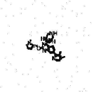 Cc1ccnc(-c2ccc3c(N4[C@@H]5CC[C@H]4CNC5)nc(OC[C@@H]4CCCN4C)nc3c2)c1C